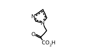 O=C(O)C(=O)Cn1ccnc1